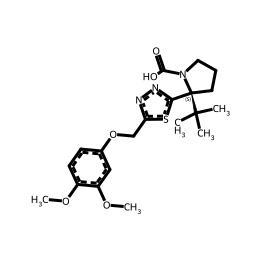 COc1ccc(OCc2nnc([C@@]3(C(C)(C)C)CCCN3C(=O)O)s2)cc1OC